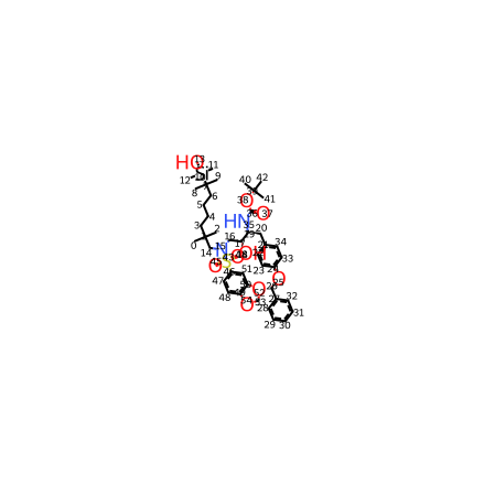 CC(C)(CCCCC(C)(C)[Si](C)(C)O)CN(C[C@@H](O)[C@H](Cc1ccc(OCc2ccccc2)cc1)NC(=O)OC(C)(C)C)S(=O)(=O)c1ccc2c(c1)OCO2